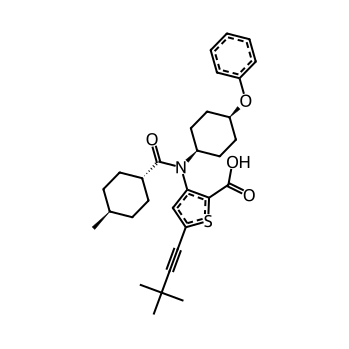 CC(C)(C)C#Cc1cc(N(C(=O)[C@H]2CC[C@H](C)CC2)[C@H]2CC[C@@H](Oc3ccccc3)CC2)c(C(=O)O)s1